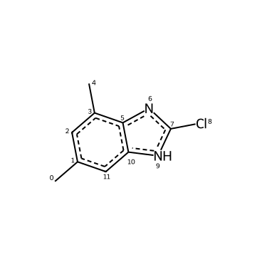 Cc1cc(C)c2nc(Cl)[nH]c2c1